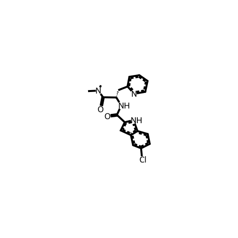 CN(C)C(=O)[C@H](Cc1ccccn1)NC(=O)c1cc2cc(Cl)ccc2[nH]1